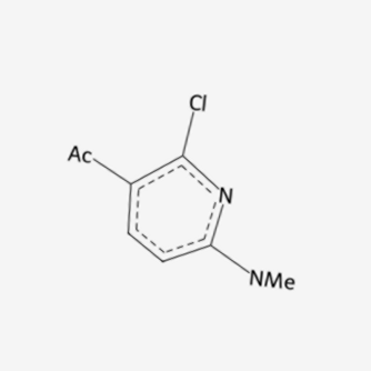 CNc1ccc(C(C)=O)c(Cl)n1